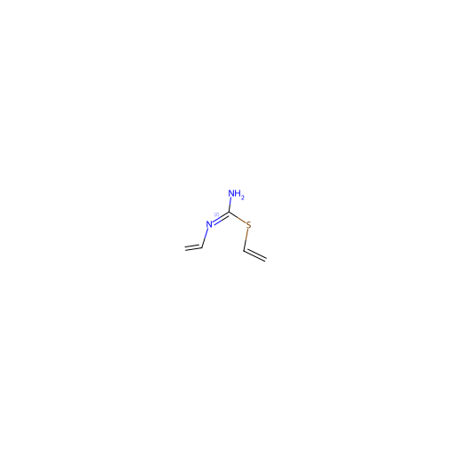 C=C/N=C(/N)SC=C